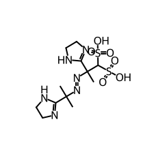 CC(C)(N=NC(C)(C1=NCCN1)C(S(=O)(=O)O)S(=O)(=O)O)C1=NCCN1